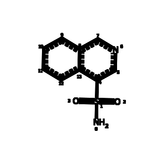 NS(=O)(=O)c1cncc2ccccc12